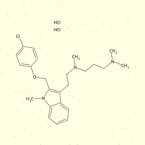 CN(C)CCCN(C)CCc1c(COc2ccc(Cl)cc2)n(C)c2ccccc12.Cl.Cl